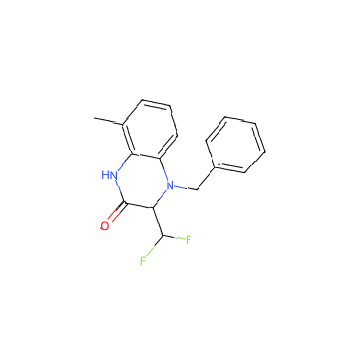 Cc1cccc2c1NC(=O)C(C(F)F)N2Cc1ccccc1